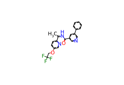 C[C@@H](NC(=O)c1cncc(-c2ccccc2)c1)c1ccc(OCC(F)(F)F)cn1